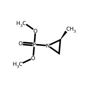 COP(=O)(OC)N1C[C@@H]1C